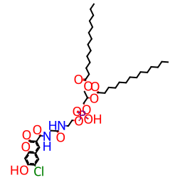 CCCCCCCCCCCCCC(=O)OCC(COP(=O)(O)OCCNC(=O)CNC(=O)c1cc2cc(Cl)c(O)cc2oc1=O)OC(=O)CCCCCCCCCCCCC